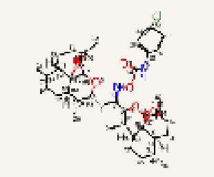 C[C@H]1[C@@H](/C(C[C@H]2O[C@@H]3O[C@]4(C)CC[C@H]5[C@H](C)CC[C@@H]([C@H]2C)[C@@]35OO4)=N\OC(=O)Nc2ccc(Cl)cc2)O[C@@H]2O[C@]3(C)CC[C@H]4[C@H](C)CC[C@@H]1[C@@]24O3